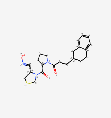 O=C([C@H]1CCCN1C(=O)CC[C@@H]1CCc2ccccc2C1)N1CSC[C@H]1C=NO